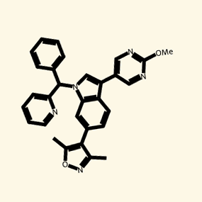 COc1ncc(-c2cn(C(c3ccccc3)c3ccccn3)c3cc(-c4c(C)noc4C)ccc23)cn1